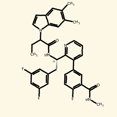 CCC(C(=O)N[C@@H](Cc1cc(F)cc(F)c1)c1ncccc1-c1ccc(F)c(C(=O)NC)c1)n1ccc2cc(C)c(C)cc21